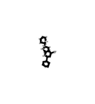 Clc1cc(-c2ccccc2)nc2nn(-c3ccccc3)cc12